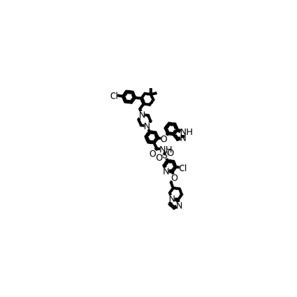 CC1(C)CCC(CN2CCN(c3ccc(C(=O)NS(=O)(=O)c4cnc(OCC5CCc6nccn6C5)c(Cl)c4)c(Oc4cccc5[nH]ncc45)c3)CC2)=C(c2ccc(Cl)cc2)C1